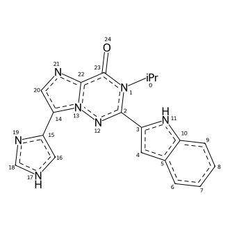 CC(C)n1c(-c2cc3ccccc3[nH]2)nn2c(-c3c[nH]cn3)cnc2c1=O